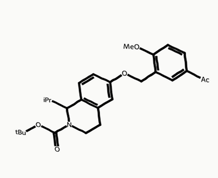 COc1ccc(C(C)=O)cc1COc1ccc2c(c1)CCN(C(=O)OC(C)(C)C)C2C(C)C